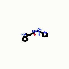 O=C(CCc1c[nH]c2ccccc12)Nc1nnc(-c2ccccn2)[nH]1